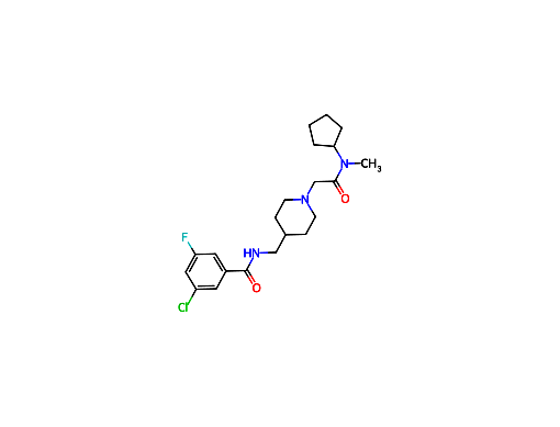 CN(C(=O)CN1CCC(CNC(=O)c2cc(F)cc(Cl)c2)CC1)C1CCCC1